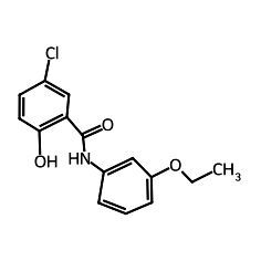 CCOc1cccc(NC(=O)c2cc(Cl)ccc2O)c1